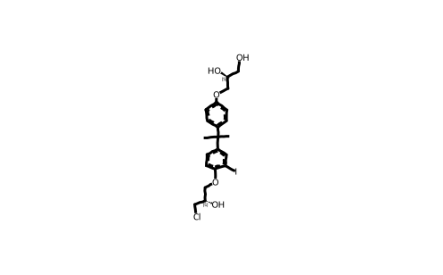 CC(C)(c1ccc(OC[C@@H](O)CO)cc1)c1ccc(OC[C@H](O)CCl)c(I)c1